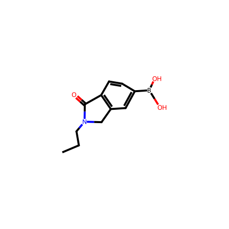 CCCN1Cc2cc(B(O)O)ccc2C1=O